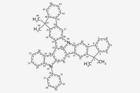 CC1(C)c2ccccc2-c2cc3c(cc21)c1cc2c(c4ccccc4n2-c2ccccc2)c2c4cc5c(cc4n3c12)-c1ccccc1C5(C)C